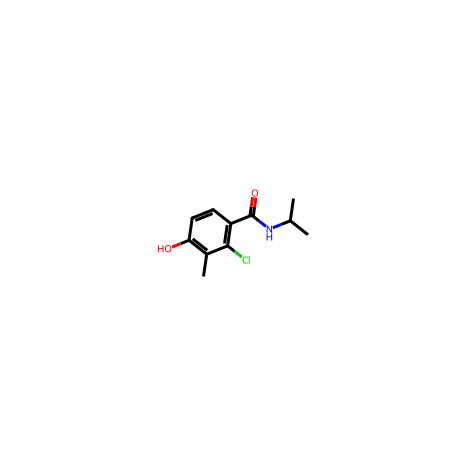 Cc1c(O)ccc(C(=O)NC(C)C)c1Cl